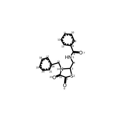 O=C1SC(CNC(=O)c2ccccc2)N(Cc2ccccc2)C1=O